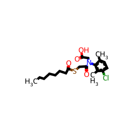 CCCCCCCC(=O)SCC(=O)N(CC(=O)O)c1c(C)ccc(Cl)c1C